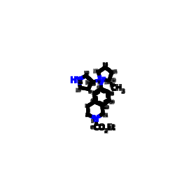 CCOC(=O)N1CCc2cc([N+]3([C@H]4CCNC4)CCC[C@@H]3C)ccc2C1